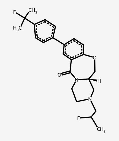 CC(F)CN1CCN2C(=O)c3cc(-c4ccc(C(C)(C)F)cc4)ccc3OC[C@@H]2C1